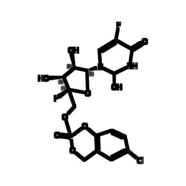 O=C1NC(O)N([C@@H]2O[C@](F)(COP3(=O)OCc4cc(Cl)ccc4O3)[C@@H](O)[C@H]2O)C=C1F